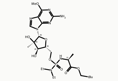 CCN(CC)P(=O)(N[C@@H](C)C(=O)OCC(C)(C)C)OC[C@H]1O[C@@H](n2cnc3c(OC)nc(N)nc32)[C@](C)(O)[C@@H]1O